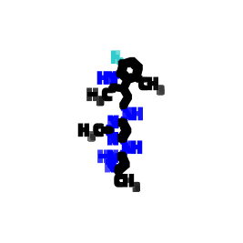 Cc1cc(Nc2cc(NCCC3c4c(C)ccc(F)c4NC3C)nc(C)n2)[nH]n1